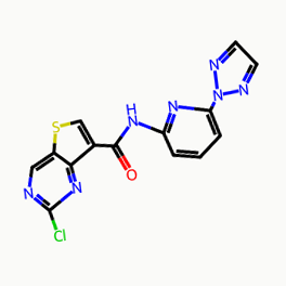 O=C(Nc1cccc(-n2nccn2)n1)c1csc2cnc(Cl)nc12